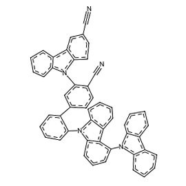 N#Cc1ccc2c(c1)c1ccccc1n2-c1cc(-c2ccccc2-n2c3ccccc3c3c(-n4c5ccccc5c5ccccc54)cccc32)ccc1C#N